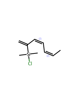 C=C(/C=C\C=C/C)[Si](C)(C)Cl